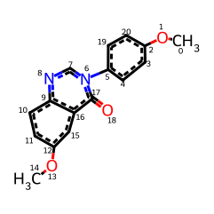 COc1ccc(-n2cnc3ccc(OC)cc3c2=O)cc1